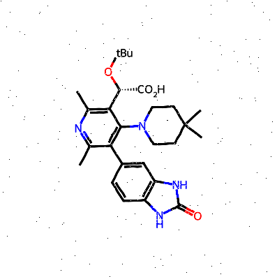 Cc1nc(C)c([C@H](OC(C)(C)C)C(=O)O)c(N2CCC(C)(C)CC2)c1-c1ccc2[nH]c(=O)[nH]c2c1